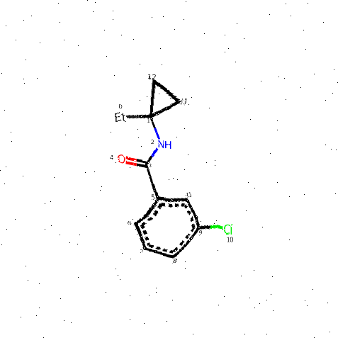 CCC1(NC(=O)c2cccc(Cl)c2)CC1